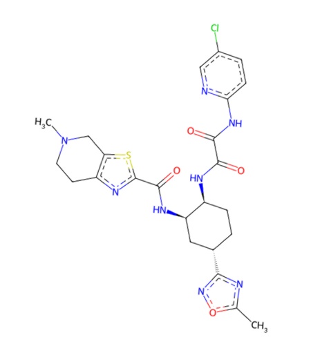 Cc1nc([C@H]2CC[C@H](NC(=O)C(=O)Nc3ccc(Cl)cn3)[C@H](NC(=O)c3nc4c(s3)CN(C)CC4)C2)no1